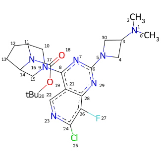 CN(C)C1CN(c2nc(N3CC4CCC(C3)N4C(=O)OC(C)(C)C)c3cnc(Cl)c(F)c3n2)C1